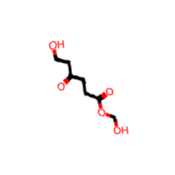 O=C(CCO)CCC(=O)OCO